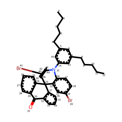 CCCCCc1cc(CCCCC)cc(N2c3ccc(Br)cc3C3(c4ccccc4C(=O)c4ccccc43)c3cc(Br)ccc32)c1